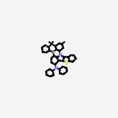 Cc1cc2c3c(c1)C(C)(C)c1ccccc1B3c1ccc(N(c3ccccc3)c3ccccc3)c3c4sc5ccccc5c4n-2c13